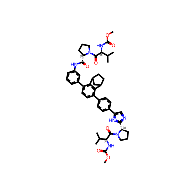 COC(=O)N[C@H](C(=O)N1CCC[C@H]1C(=O)Nc1cccc(-c2ccc(-c3ccc(-c4cnc([C@@H]5CCCN5C(=O)[C@@H](NC(=O)OC)C(C)C)[nH]4)cc3)c3c2C2CCC3C2)c1)C(C)C